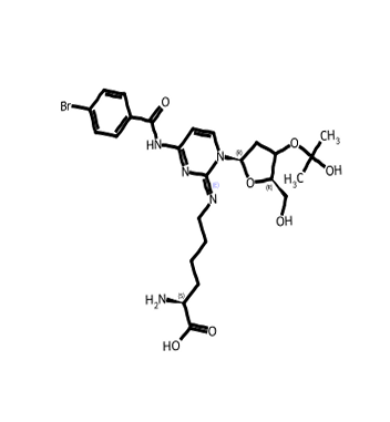 CC(C)(O)OC1C[C@H](n2ccc(NC(=O)c3ccc(Br)cc3)n/c2=N\CCCC[C@H](N)C(=O)O)O[C@@H]1CO